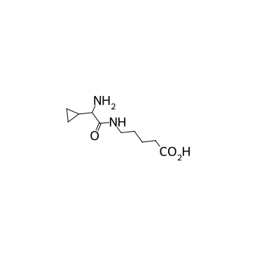 NC(C(=O)NCCCCC(=O)O)C1CC1